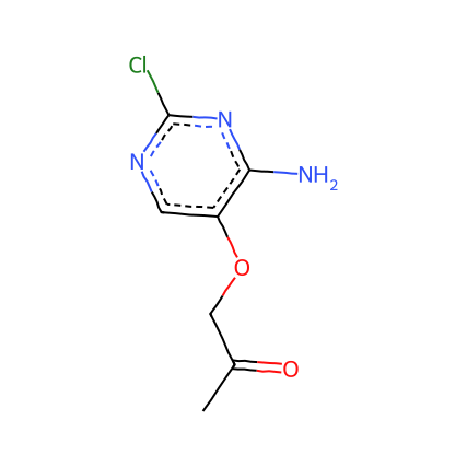 CC(=O)COc1cnc(Cl)nc1N